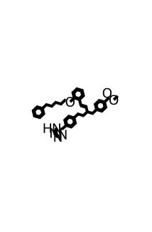 COC(=O)c1ccc(CC(C=Cc2ccccc2OCCCCCc2ccccc2)CCc2ccc(-c3nnn[nH]3)cc2)cc1